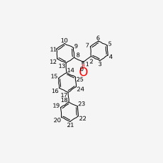 O=C(c1ccccc1)c1ccccc1-c1ccc(-c2ccccc2)cc1